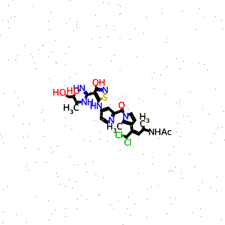 CC(=O)NC(C)/C=C(\c1ccn(C(=O)c2cc(Nc3snc(O)c3C(=N)NC(C)C(O)CO)ccn2)c1C)C(Cl)Cl